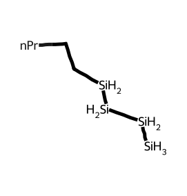 CCCCC[SiH2][SiH2][SiH2][SiH3]